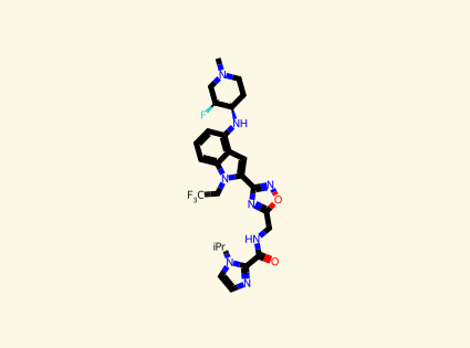 CC(C)n1ccnc1C(=O)NCc1nc(-c2cc3c(N[C@@H]4CCN(C)C[C@@H]4F)cccc3n2CC(F)(F)F)no1